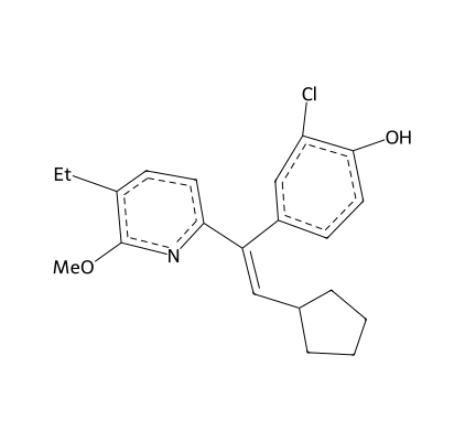 CCc1ccc(/C(=C/C2CCCC2)c2ccc(O)c(Cl)c2)nc1OC